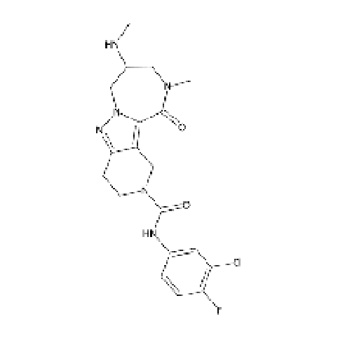 CNC1CN(C)C(=O)c2c3c(nn2C1)CCN(C(=O)Nc1ccc(F)c(Cl)c1)C3